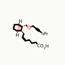 CCCC#CCOC[C@@H]1[C@@H](C/C=C\CCCC(=O)O)[C@H]2CC[C@@H]1O2